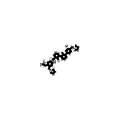 Cc1c(-c2ccc(CN3CCCC3)c(F)c2)cccc1-c1cccc(-c2nc3cc(CN4CCCC4)c(CC(F)F)cc3o2)c1C